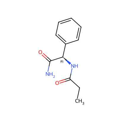 CCC(=O)N[C@@H](C(N)=O)c1ccccc1